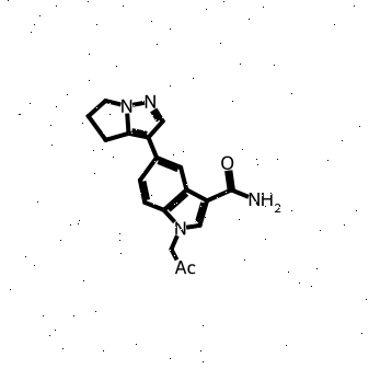 CC(=O)Cn1cc(C(N)=O)c2cc(-c3cnn4c3CCC4)ccc21